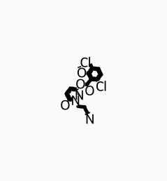 COc1c(Cl)ccc(Cl)c1C(=O)Oc1ccc(=O)n(CCC#N)n1